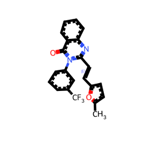 Cc1ccc(/C=C/c2nc3ccccc3c(=O)n2-c2cccc(C(F)(F)F)c2)o1